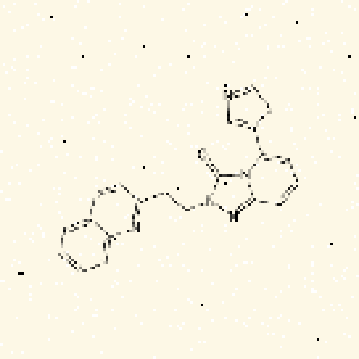 O=c1n(CCc2ccc3ccccc3n2)nc2cccc(-c3cncs3)n12